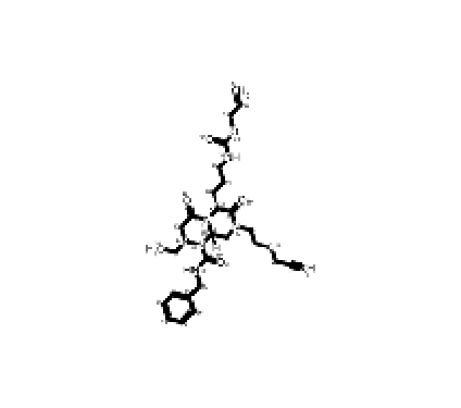 C#CCOCCN1C[C@H]2N(C(=O)CN(CC)N2C(=O)NCc2ccccc2)[C@@H](CCCNC(=O)OCC=C)C1=O